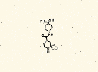 O=C(N[C@H]1CC[C@@](O)(C(F)(F)F)CC1)C1CCNC2(COC2)C1